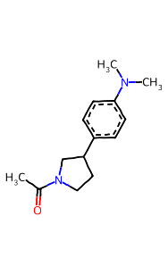 CC(=O)N1CCC(c2ccc(N(C)C)cc2)C1